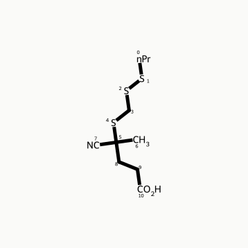 CCCSSCSC(C)(C#N)CCC(=O)O